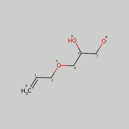 C=CCOCC(O)C[O]